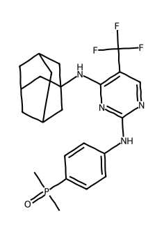 CP(C)(=O)c1ccc(Nc2ncc(C(F)(F)F)c(NC34CC5CC(CC(C5)C3)C4)n2)cc1